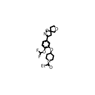 CCC(=O)N1CCC(Oc2cc(C3=NOC4(CCOC4)C3)ccc2OC(F)F)CC1